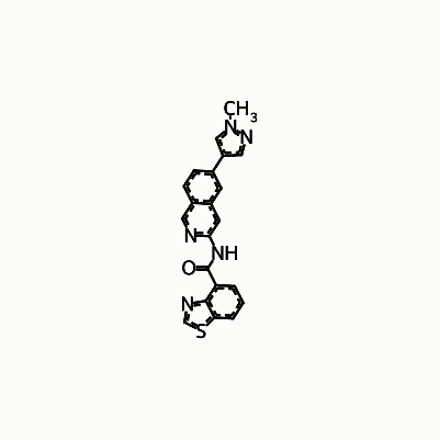 Cn1cc(-c2ccc3cnc(NC(=O)c4cccc5scnc45)cc3c2)cn1